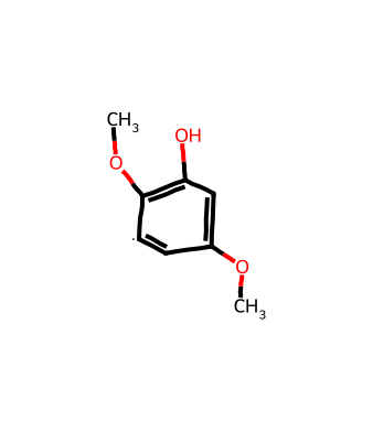 COc1c[c]c(OC)c(O)c1